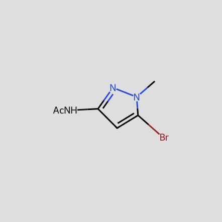 CC(=O)Nc1cc(Br)n(C)n1